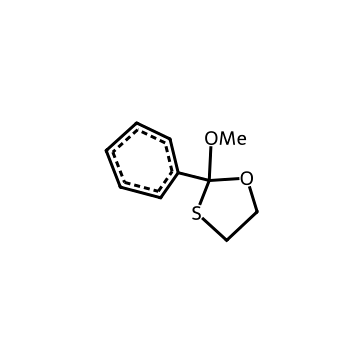 COC1(c2ccccc2)OCCS1